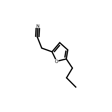 CCCc1ccc(CC#N)o1